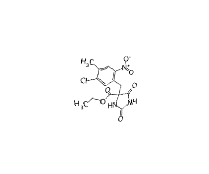 CCOC(=O)C1(Cc2cc(Cl)c(C)cc2[N+](=O)[O-])NC(=O)NC1=O